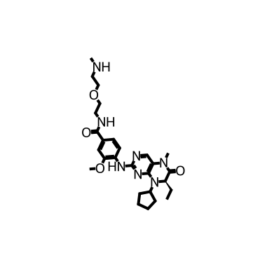 CC[C@@H]1C(=O)N(C)c2cnc(Nc3ccc(C(=O)NCCOCCNC)cc3OC)nc2N1C1CCCC1